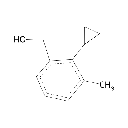 Cc1cccc([CH]O)c1C1CC1